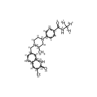 [2H]C([2H])([2H])NC(=O)c1ccc(N2CCN(Cc3cnc4cc(CC)c(=O)[nH]c4c3)[C@H](C)C2)cn1